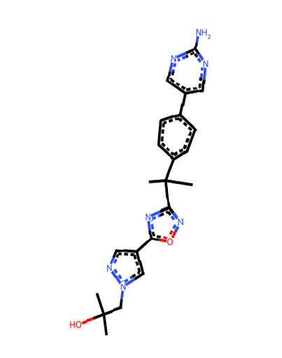 CC(C)(O)Cn1cc(-c2nc(C(C)(C)c3ccc(-c4cnc(N)nc4)cc3)no2)cn1